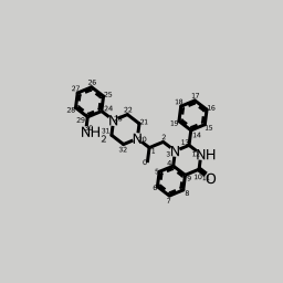 CC(CN1c2ccccc2C(=O)NC1c1ccccc1)N1CCN(c2ccccc2N)CC1